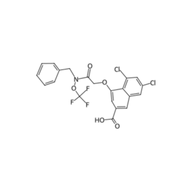 O=C(O)c1cc(OCC(=O)N(Cc2ccccc2)OC(F)(F)F)c2c(Cl)cc(Cl)cc2c1